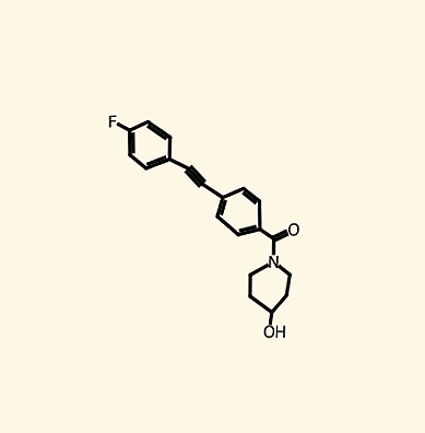 O=C(c1ccc(C#Cc2ccc(F)cc2)cc1)N1CCC(O)CC1